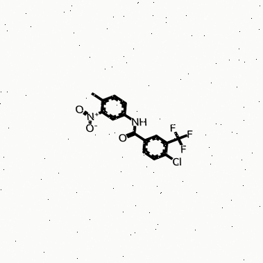 Cc1ccc(NC(=O)c2ccc(Cl)c(C(F)(F)F)c2)cc1[N+](=O)[O-]